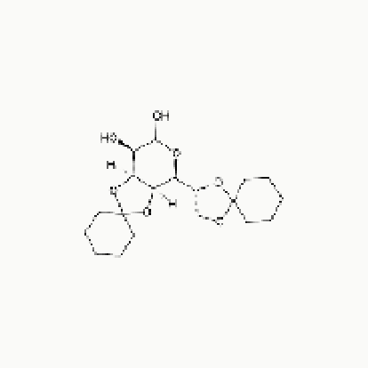 OC1O[C@@H]([C@H]2COC3(CCCCC3)O2)[C@H]2OC3(CCCCC3)O[C@H]2[C@H]1O